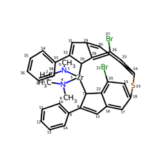 C[N](C)[Zr]1([N](C)C)[CH]2C(c3ccccc3)=Cc3cc(cc(Br)c32)Sc2cc(Br)c3c(c2)C=C(c2ccccc2)[CH]31